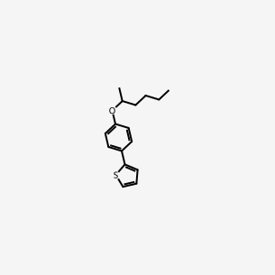 CCCCC(C)Oc1ccc(-c2cccs2)cc1